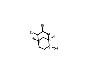 CCC1N[C@@H]2C[C@H](OC[C@H]2O)C1CC